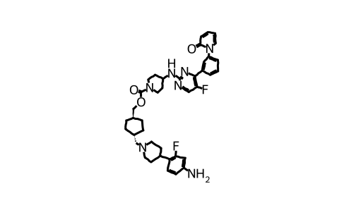 Nc1ccc(C2CCN(C[C@H]3CC[C@H](COC(=O)N4CCC(Nc5ncc(F)c(-c6cccc(-n7ccccc7=O)c6)n5)CC4)CC3)CC2)c(F)c1